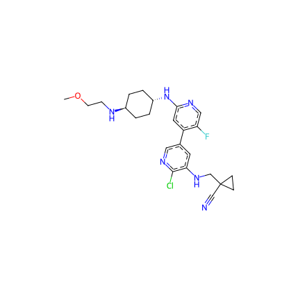 COCCN[C@H]1CC[C@H](Nc2cc(-c3cnc(Cl)c(NCC4(C#N)CC4)c3)c(F)cn2)CC1